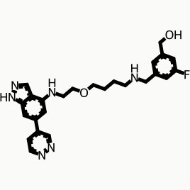 OCc1cc(F)cc(CNCCCCOCCNc2cc(-c3ccnnc3)cc3[nH]ncc23)c1